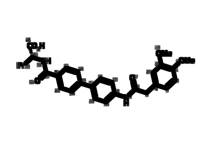 COc1ccc(CC(=O)Nc2ccc(-c3ccc(C(=O)N[C@@H](C(=O)O)C(C)C)cc3)cc2)cc1OC